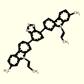 CC=Cn1c2cc(C)ccc2c2ccc(-c3ccc(-c4ccc5c6ccc(C)cc6n(C=CC)c5c4)c4nsnc34)cc21